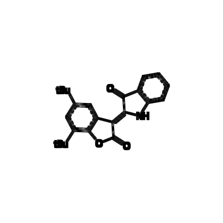 CC(C)(C)c1cc2c(c(C(C)(C)C)c1)OC(=O)C2=C1Nc2ccccc2C1=O